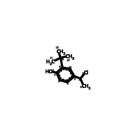 CC(Cl)c1ccc(O)c(C(C)(C)C)c1